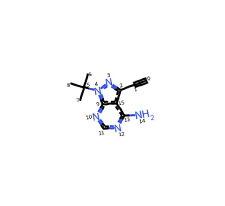 C#Cc1nn(C(C)(C)C)c2ncnc(N)c12